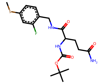 CSc1ccc(CNC(=O)C(CCC(N)=O)NC(=O)OC(C)(C)C)c(F)c1